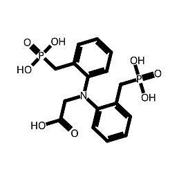 O=C(O)CN(c1ccccc1CP(=O)(O)O)c1ccccc1CP(=O)(O)O